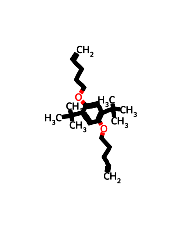 C=CCCCOc1cc(C(C)(C)C)c(OCCCC=C)cc1C(C)(C)C